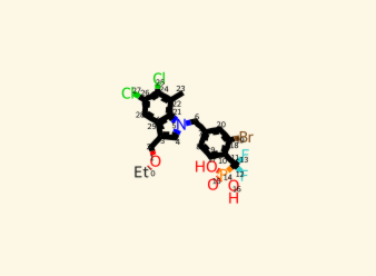 CCOCc1cn(Cc2ccc(C(F)(F)P(=O)(O)O)c(Br)c2)c2c(C)c(Cl)c(Cl)cc12